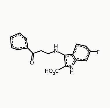 O=C(CCNc1c(C(=O)O)[nH]c2cc(F)ccc12)c1ccccc1